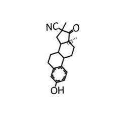 CC1(C#N)CC2C3CCc4cc(O)ccc4C3CC[C@]2(C)C1=O